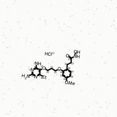 CCc1nc(N)nc(N)c1OCCCOc1cc(OC)ccc1CCC(=O)NO.Cl